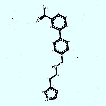 NC(=O)c1cccc(-c2ccc(CNCCc3ccsc3)cc2)c1